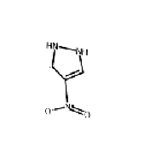 O=[N+]([O-])C1=CNN[C]1